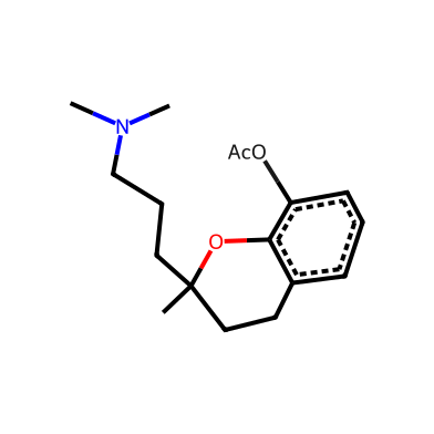 CC(=O)Oc1cccc2c1OC(C)(CCCN(C)C)CC2